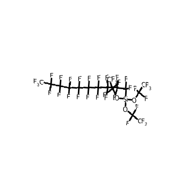 FC(F)(F)C(F)(F)O[Si](OC(F)(F)C(F)(F)F)(OC(F)(F)C(F)(F)F)C(F)(F)C(F)(F)C(F)(F)C(F)(F)C(F)(F)C(F)(F)C(F)(F)C(F)(F)C(F)(F)C(F)(F)F